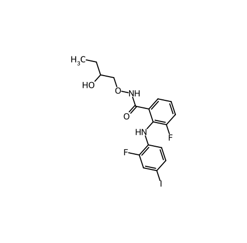 CCC(O)CONC(=O)c1cccc(F)c1Nc1ccc(I)cc1F